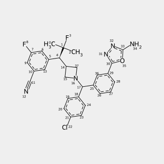 CC(C)(F)[C@H](c1cc(F)cc(C#N)c1)C1CN(C(c2ccc(Cl)cc2)c2cccc(-c3nnc(N)o3)c2)C1